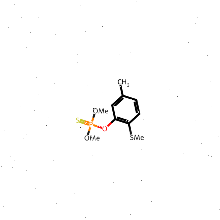 COP(=S)(OC)Oc1cc(C)ccc1SC